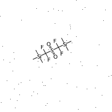 C[Si](C)(C)C(F)(F)S(=O)(=O)C(F)(F)[Si](C)(C)C